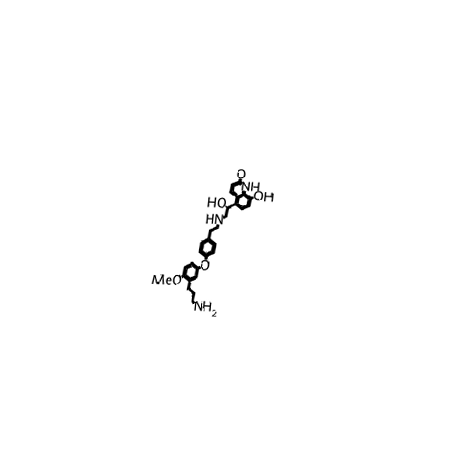 COc1ccc(Oc2ccc(CCNC[C@H](O)c3ccc(O)c4[nH]c(=O)ccc34)cc2)cc1CCCN